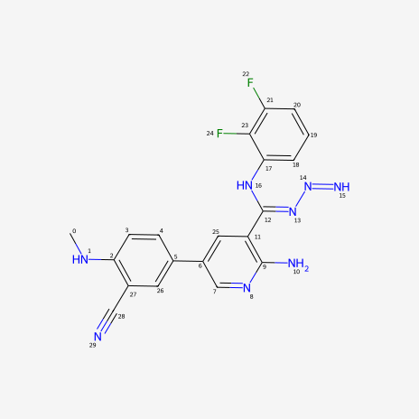 CNc1ccc(-c2cnc(N)c(/C(=N/N=N)Nc3cccc(F)c3F)c2)cc1C#N